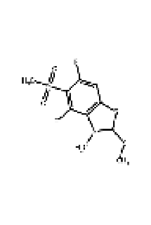 CSC1Sc2cc(F)c(S(C)(=O)=O)c(F)c2N1C